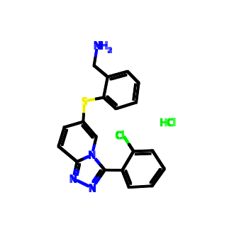 Cl.NCc1ccccc1Sc1ccc2nnc(-c3ccccc3Cl)n2c1